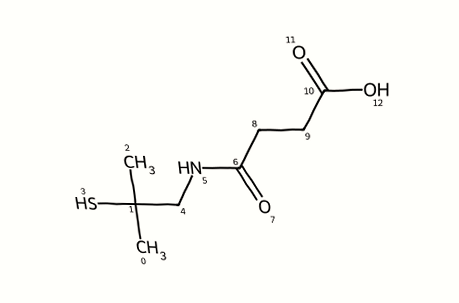 CC(C)(S)CNC(=O)CCC(=O)O